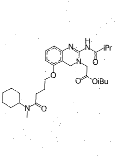 CC(C)COC(=O)CN1Cc2c(cccc2OCCCC(=O)N(C)C2CCCCC2)N=C1NC(=O)C(C)C